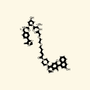 Cc1ncsc1-c1ccc([C@H](C)NC(=O)[C@@H]2C[C@@H](O)CN2C(=O)[C@@H](NC(=O)COCCOCC/C=C/C(=O)N2CCN(c3ncnc4c(F)c(-c5cc(O)cc6ccccc56)c(Cl)cc34)CC2)C(C)(C)C)cc1